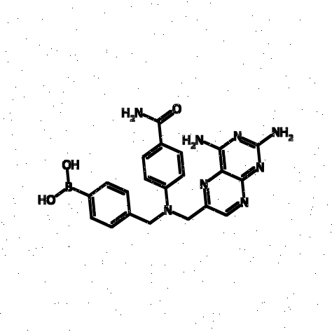 NC(=O)c1ccc(N(Cc2ccc(B(O)O)cc2)Cc2cnc3nc(N)nc(N)c3n2)cc1